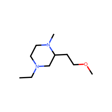 CCN1CCN(C)C(CCOC)C1